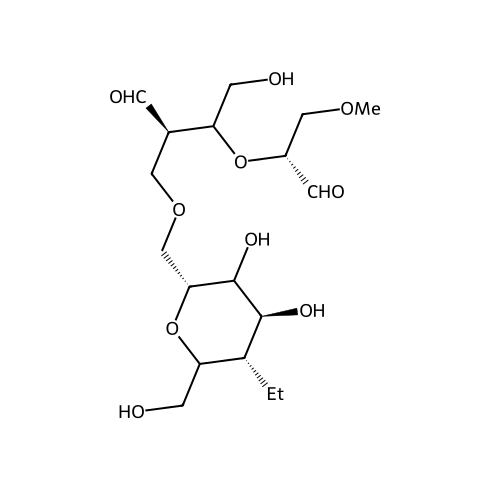 CC[C@@H]1C(CO)O[C@H](COC[C@@H](C=O)C(CO)O[C@@H](C=O)COC)C(O)[C@H]1O